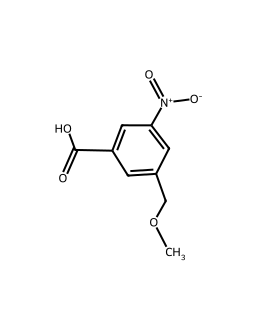 COCc1cc(C(=O)O)cc([N+](=O)[O-])c1